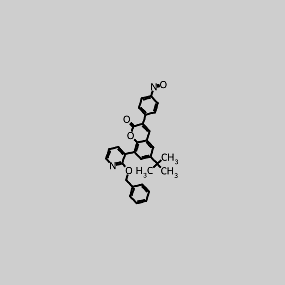 CC(C)(C)c1cc(-c2cccnc2OCc2ccccc2)c2oc(=O)c(-c3ccc(N=O)cc3)cc2c1